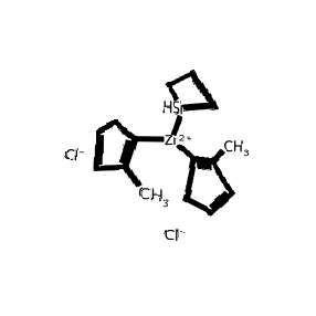 CC1=[C]([Zr+2]([C]2=C(C)C=CC2)[SiH]2CCC2)CC=C1.[Cl-].[Cl-]